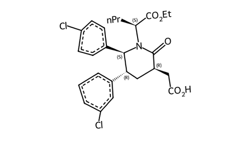 CCC[C@@H](C(=O)OCC)N1C(=O)[C@@H](CC(=O)O)C[C@H](c2cccc(Cl)c2)[C@H]1c1ccc(Cl)cc1